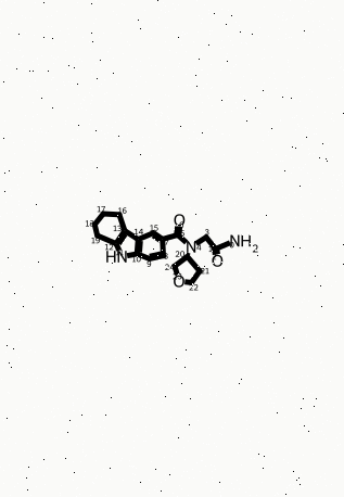 NC(=O)CN(C(=O)c1ccc2[nH]c3c(c2c1)CCCC3)[C@H]1CCOC1